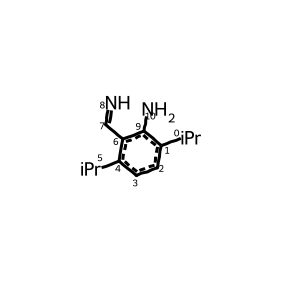 CC(C)c1ccc(C(C)C)c(C=N)c1N